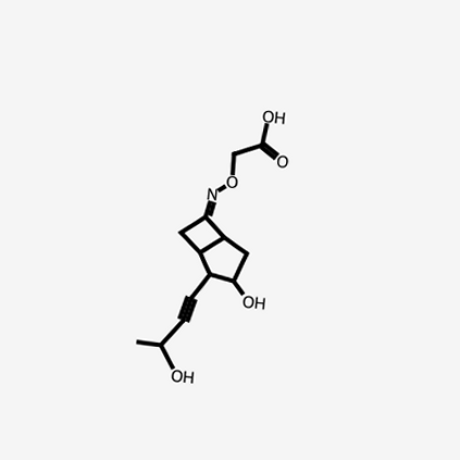 CC(O)C#CC1C(O)CC2/C(=N\OCC(=O)O)CC21